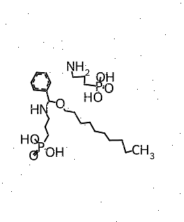 CCCCCCCCCCOC(NCCCP(=O)(O)O)c1ccccc1.NCCCP(=O)(O)O